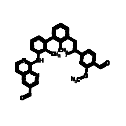 COc1cc(C(F)=Cc2cccc(-c3cccc(Nc4nccc5cc(C=O)cnc45)c3C)c2C)ccc1C=O